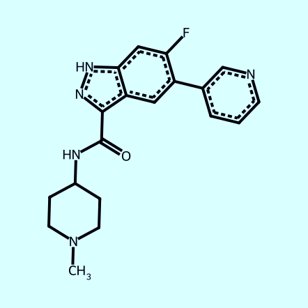 CN1CCC(NC(=O)c2n[nH]c3cc(F)c(-c4cccnc4)cc23)CC1